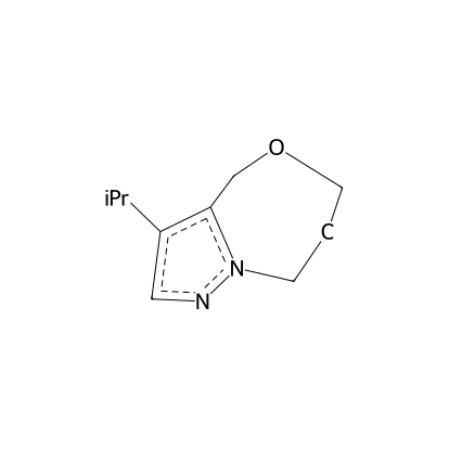 CC(C)c1cnn2c1COCCC2